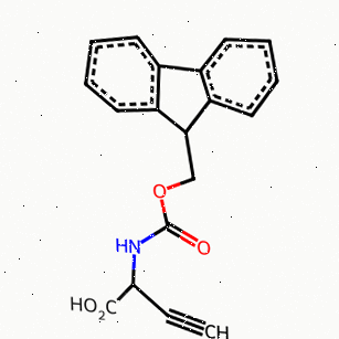 C#CC(NC(=O)OCC1c2ccccc2-c2ccccc21)C(=O)O